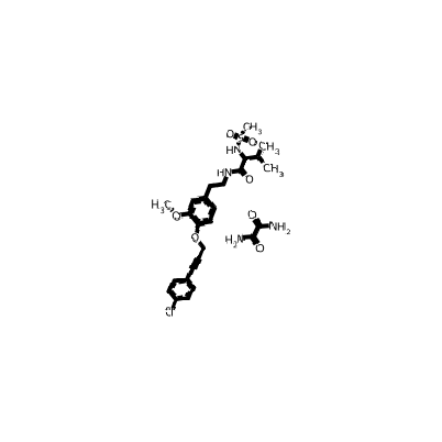 COc1cc(CCNC(=O)C(NS(C)(=O)=O)C(C)C)ccc1OCC#Cc1ccc(Cl)cc1.NC(=O)C(N)=O